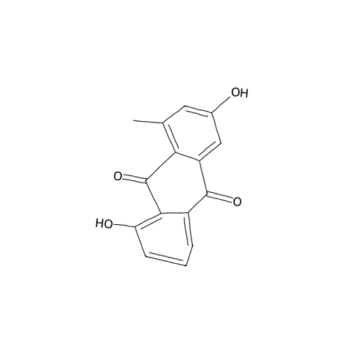 Cc1cc(O)cc2c1C(=O)c1c(O)cccc1C2=O